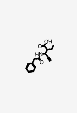 C#CC(NC(=O)Cc1ccccc1)C(CC)C(=O)O